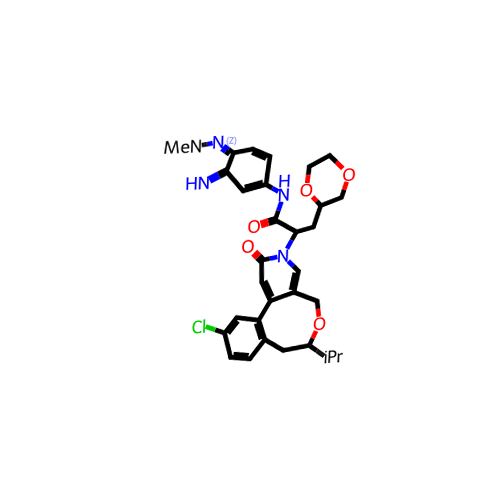 CN/N=C1/C=CC(NC(=O)C(CC2COCCO2)n2cc3c(cc2=O)-c2cc(Cl)ccc2CC(C(C)C)OC3)=CC1=N